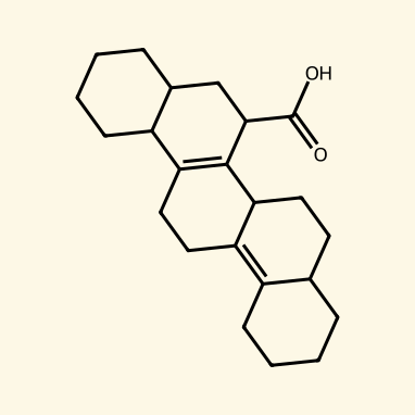 O=C(O)C1CC2CCCCC2C2=C1C1CCC3CCCCC3=C1CC2